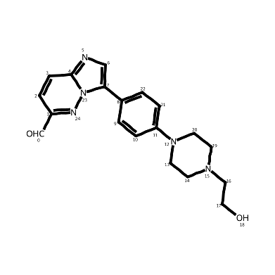 O=Cc1ccc2ncc(-c3ccc(N4CCN(CCO)CC4)cc3)n2n1